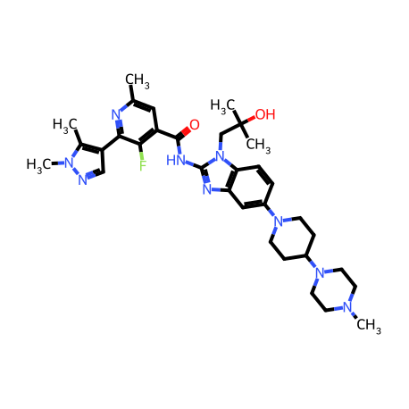 Cc1cc(C(=O)Nc2nc3cc(N4CCC(N5CCN(C)CC5)CC4)ccc3n2CC(C)(C)O)c(F)c(-c2cnn(C)c2C)n1